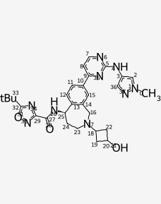 Cn1cc(Nc2nccc(-c3ccc4c(c3)CN(C3CC(O)C3)CC[C@H]4NC(=O)c3noc(C(C)(C)C)n3)n2)cn1